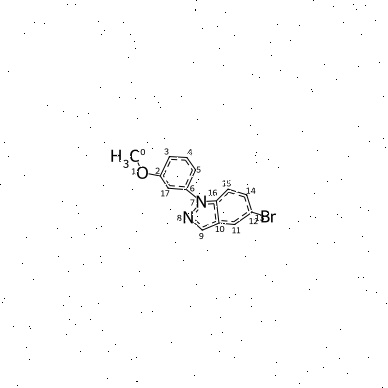 COc1cccc(-n2ncc3cc(Br)ccc32)c1